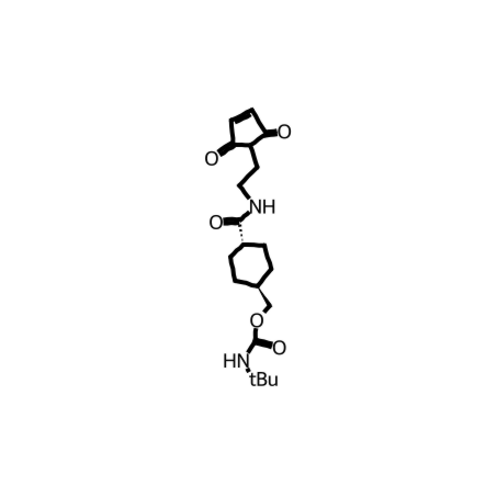 CC(C)(C)NC(=O)OC[C@H]1CC[C@H](C(=O)NCCC2C(=O)C=CC2=O)CC1